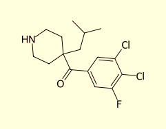 CC(C)CC1(C(=O)c2cc(F)c(Cl)c(Cl)c2)CCNCC1